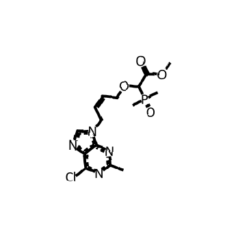 COC(=O)C(OC/C=C\Cn1cnc2c(Cl)nc(C)nc21)P(C)(C)=O